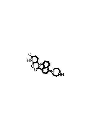 O=C1CCC(N2C(=O)c3ccc(N4CCCNCC4)c4cccc2c34)C(=O)N1